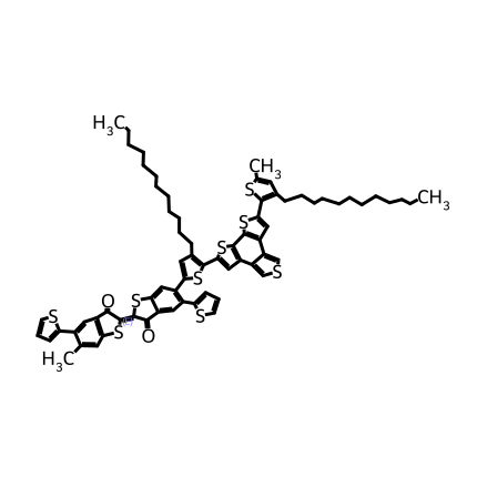 CCCCCCCCCCCCc1cc(C)sc1-c1cc2c3cscc3c3cc(-c4sc(-c5cc6c(cc5-c5cccs5)C(=O)/C(=C5\Sc7cc(C)c(-c8cccs8)cc7C5=O)S6)cc4CCCCCCCCCCCC)sc3c2s1